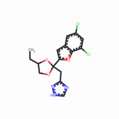 CCC1COC(Cc2nc[nH]n2)(c2cc3cc(Cl)cc(Cl)c3o2)O1